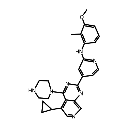 COc1cccc(Nc2cc(-c3nc(N4CCNCC4)c4c(C5CC5)cncc4n3)ccn2)c1C